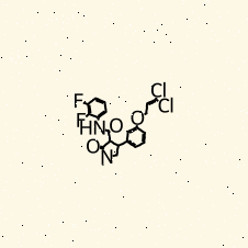 CN1CC(c2cccc(OCC=C(Cl)Cl)c2)C(C(=O)Nc2cccc(F)c2F)C1=O